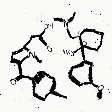 COc1cccc([C@@]2(O)CCCC[C@@H]2CN(C)C)c1.Cc1ccc(C(=O)c2ccc(CC(=O)O)n2C)cc1